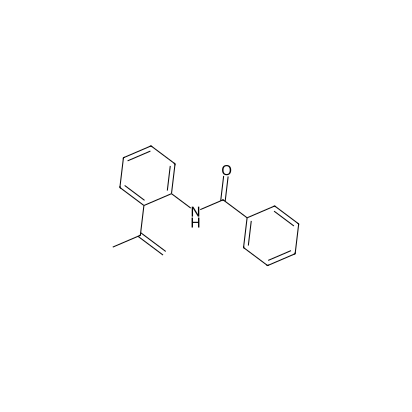 C=C(C)c1ccccc1NC(=O)c1ccccc1